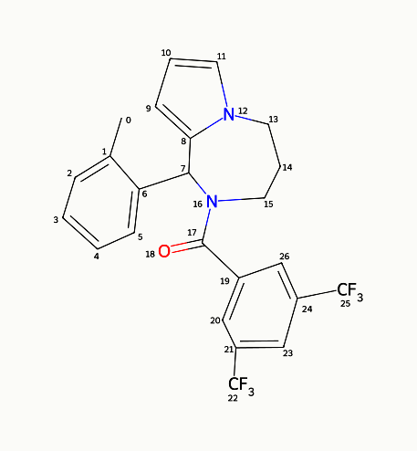 Cc1ccccc1C1c2cccn2CCCN1C(=O)c1cc(C(F)(F)F)cc(C(F)(F)F)c1